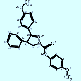 O=C(Nc1ccc(OC(F)(F)F)cc1)N1CC(c2ccccc2)C(c2ccc(OC(F)(F)F)cc2)=N1